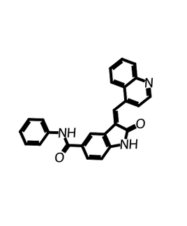 O=C1Nc2ccc(C(=O)Nc3ccccc3)cc2C1=Cc1ccnc2ccccc12